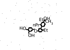 CCCc1cc(C(C)(O)CC)ccc1-c1cc(OCc2ccc(CO)c(CO)c2)ccc1CC